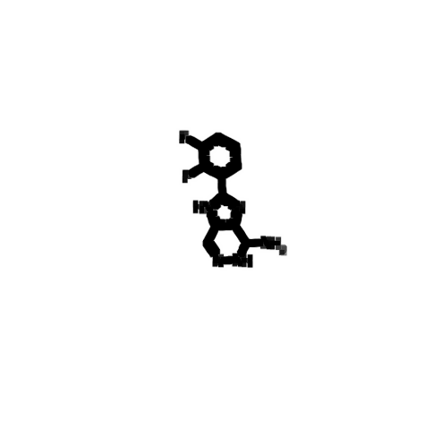 NC1NN=Cc2[nH]c(-c3cccc(F)c3F)nc21